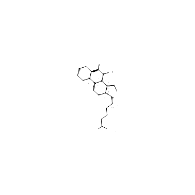 CC(C)CCC[C@@H](C)[C@H]1CC[C@H]2[C@@H]3C(O)C(O)=C4C[C@@H](O)CC[C@]4(C)[C@H]3CC[C@]12C